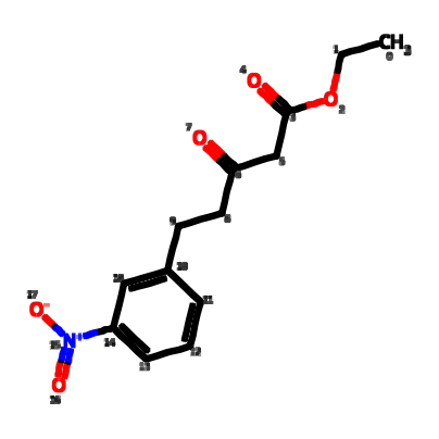 CCOC(=O)CC(=O)CCc1cccc([N+](=O)[O-])c1